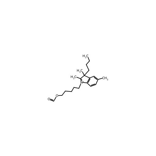 CCCCC1(C)C(C)=[N+](CCCCCOC=O)c2ccc(C)cc21